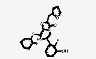 O=c1c(Cc2ccco2)nc2c(Sc3ccccc3F)[nH]c(-c3cccc(O)c3F)cn1-2